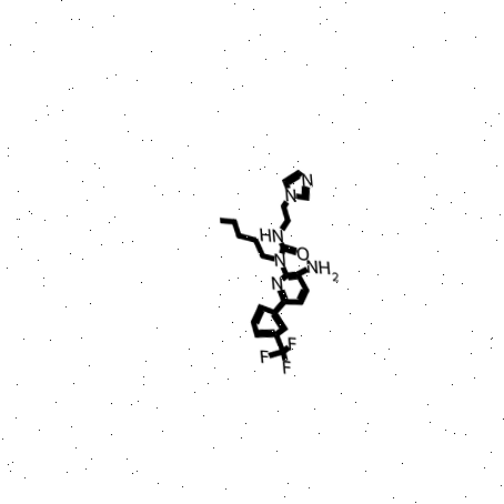 CCCCCN(C(=O)NCCn1ccnc1)c1nc(-c2cccc(C(F)(F)F)c2)ccc1N